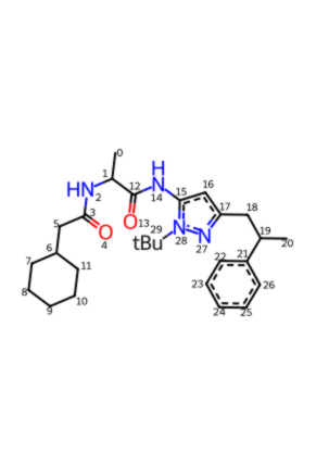 CC(NC(=O)CC1CCCCC1)C(=O)Nc1cc(CC(C)c2ccccc2)nn1C(C)(C)C